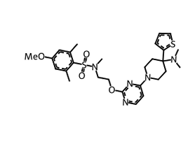 COc1cc(C)c(S(=O)(=O)N(C)CCOc2nccc(N3CCC(c4cccs4)(N(C)C)CC3)n2)c(C)c1